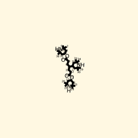 CC1(C)CC(OC(=O)CCC(CCC(=O)OC2CC(C)(C)NC(C)(C)C2)C2CC(C)(C)NC(C)(C)C2)CC(C)(C)N1